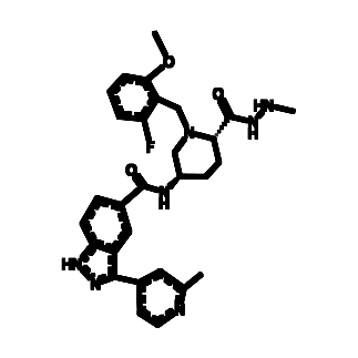 CNNC(=O)[C@@H]1CC[C@@H](NC(=O)c2ccc3[nH]nc(-c4ccnc(C)c4)c3c2)CN1Cc1c(F)cccc1OC